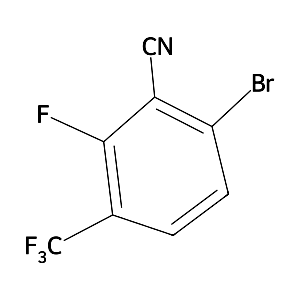 N#Cc1c(Br)ccc(C(F)(F)F)c1F